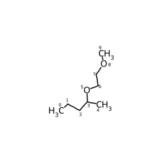 CCCC(C)OCCOC